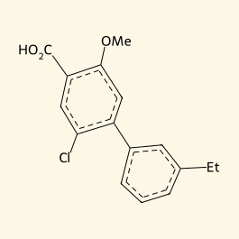 CCc1cccc(-c2cc(OC)c(C(=O)O)cc2Cl)c1